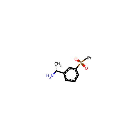 CC(C)S(=O)(=O)c1cccc([C@@H](C)N)c1